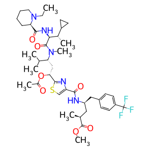 CCN1CCCC[C@@H]1C(=O)N[C@H](C(=O)N(C)[C@H](C[C@@H](OC(C)=O)c1nc(C(=O)N[C@@H](Cc2ccc(C(F)(F)F)cc2)C[C@H](C)C(=O)OC)cs1)C(C)C)[C@@H](C)C1CC1